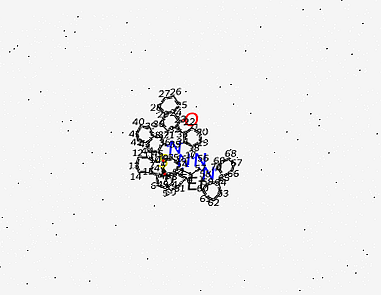 CCC1C(c2cccc3c2sc2ccccc23)=NC(c2ccc3oc4c5ccccc5ccc4c3c2-n2c3cc4ccccc4cc3c3cc4ccccc4cc32)=NC1n1c2ccccc2c2ccccc21